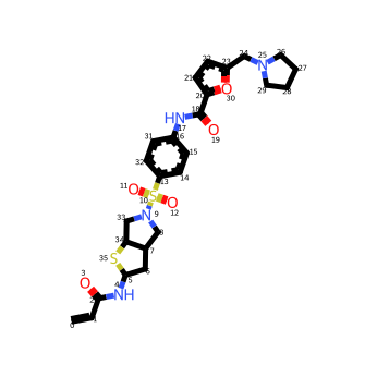 C=CC(=O)NC1CC2CN(S(=O)(=O)c3ccc(NC(=O)c4ccc(CN5CCCC5)o4)cc3)CC2S1